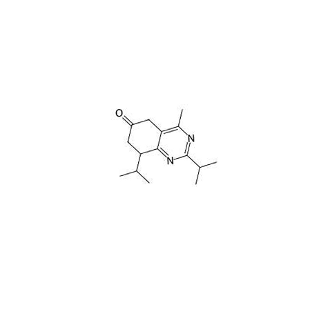 Cc1nc(C(C)C)nc2c1CC(=O)CC2C(C)C